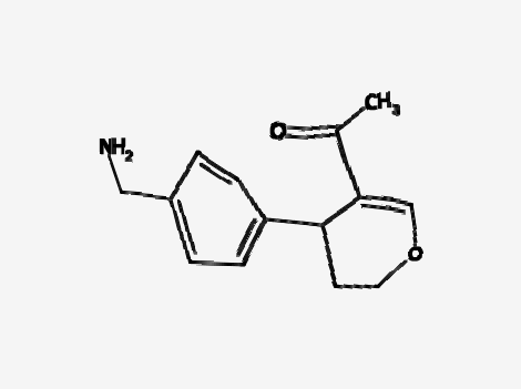 CC(=O)C1=COCCC1c1ccc(CN)cc1